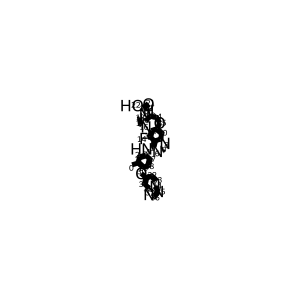 Cc1cc(Nc2ncnc3cc4c(c(F)c23)N2CCN(C(=O)O)[C@H](CO4)C2)ccc1Oc1ccn2ncnc2c1